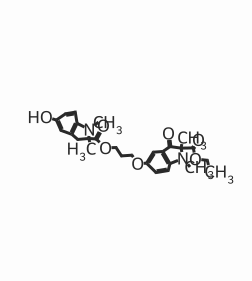 CCOC(=O)C1(C)C(=O)c2cc(OCCCOC(=O)C3(C)Cc4cc(O)ccc4N3C)ccc2N1C